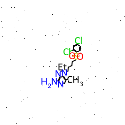 CCc1nc2c(N)ncc(C)c2n1CCCCCS(=O)(=O)c1ccc(Cl)cc1Cl